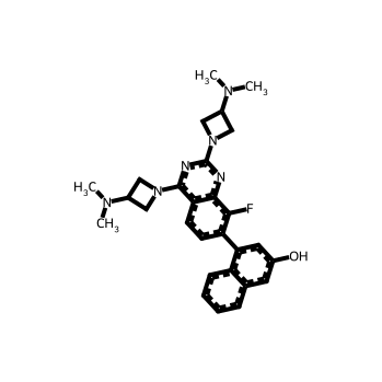 CN(C)C1CN(c2nc(N3CC(N(C)C)C3)c3ccc(-c4cc(O)cc5ccccc45)c(F)c3n2)C1